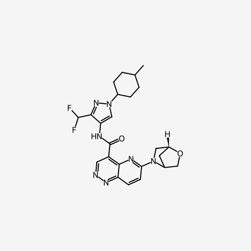 CC1CCC(n2cc(NC(=O)c3cnnc4ccc(N5C[C@H]6CC5CO6)nc34)c(C(F)F)n2)CC1